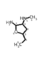 CCC1CC(NC)C(N)O1